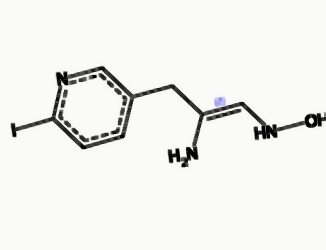 N/C(=C\NO)Cc1ccc(I)nc1